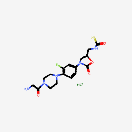 Cl.NCC(=O)N1CCN(c2ccc(N3CC(CNC(=O)S)OC3=O)cc2F)CC1